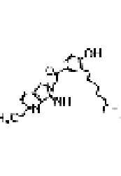 CCCC[CH]Cc1cc(C(=O)CN2Cc3ccc(CC)nc3C2=N)ccc1O